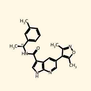 Cc1cccc([C@H](C)NC(=O)c2c[nH]c3ncc(-c4c(C)noc4C)cc23)c1